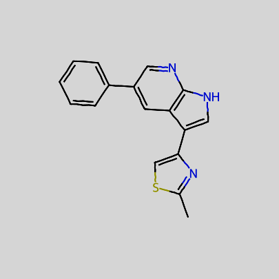 Cc1nc(-c2c[nH]c3ncc(-c4ccccc4)cc23)cs1